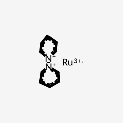 [Ru+3].c1cc[n+](-[n+]2ccccc2)cc1